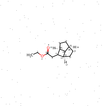 CCOC(=O)CC1[C@H]2CC[C@H]3CC[C@@H]1C32